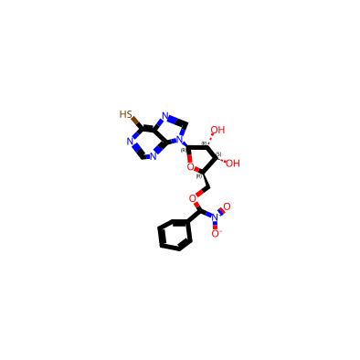 O=[N+]([O-])C(OC[C@H]1O[C@@H](n2cnc3c(S)ncnc32)[C@H](O)[C@@H]1O)c1ccccc1